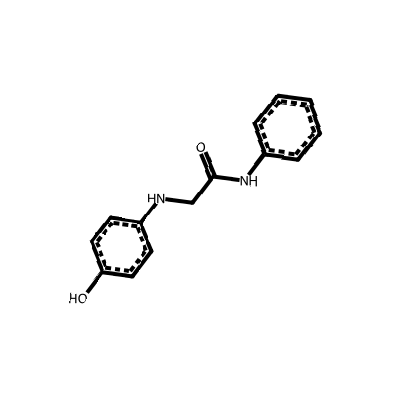 O=C(CNc1ccc(O)cc1)Nc1ccccc1